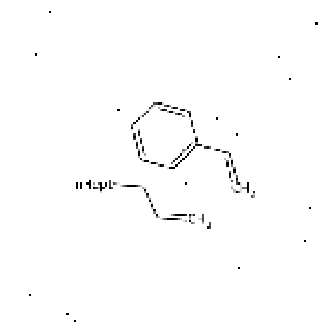 C=CCCCCCCCC.C=Cc1ccccc1